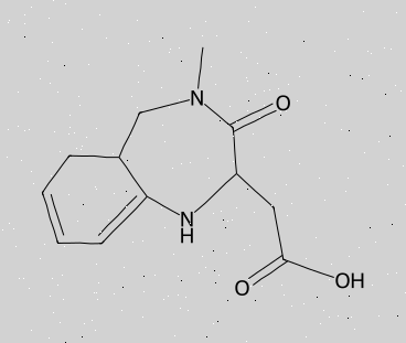 CN1CC2CC=CC=C2NC(CC(=O)O)C1=O